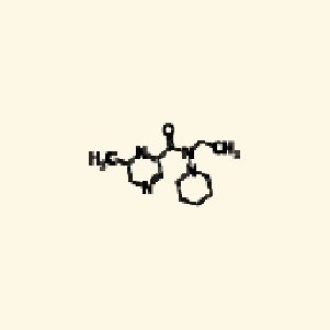 CCN(C(=O)C1=NC(C)CN=C1)N1CCCCC1